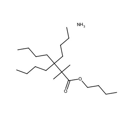 CCCCOC(=O)C(C)(C)C(CCCC)(CCCC)CCCC.N